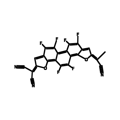 C/C(C#N)=c1\cc2c(F)c(F)c3c(c(F)c(F)c4c5oc(=C(C#N)C#N)cc5c(F)c(F)c43)c2o1